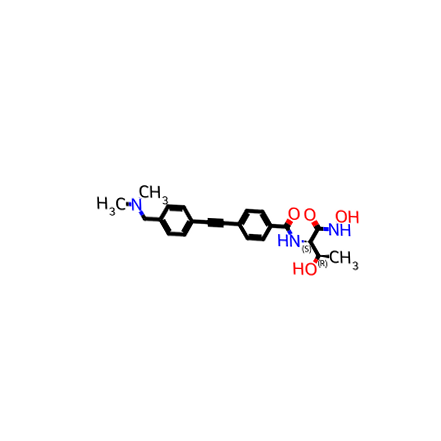 C[C@@H](O)[C@H](NC(=O)c1ccc(C#Cc2ccc(CN(C)C)cc2)cc1)C(=O)NO